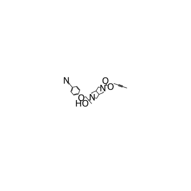 CC#CCOC(=O)N1CC2CN(C(C)(O)COc3ccc(C#N)cc3)CC2C1